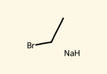 CCBr.[NaH]